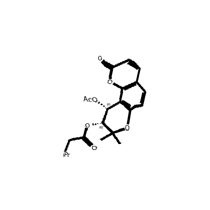 CC(=O)O[C@@H]1c2c(ccc3ccc(=O)oc23)OC(C)(C)[C@@H]1OC(=O)CC(C)C